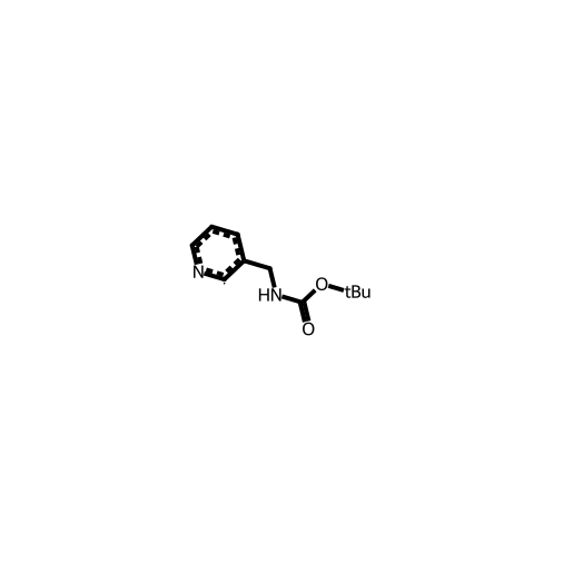 CC(C)(C)OC(=O)NCc1[c]nccc1